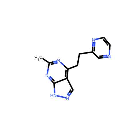 Cc1nc(CCc2cnccn2)c2cn[nH]c2n1